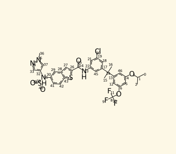 CC(C)Oc1cc(OC(F)(F)F)cc(C(C)(C)c2cc(Cl)cc(NC(=O)c3cc4cc(N(c5cnn(C)c5)[SH](=O)=O)ccc4s3)c2)c1